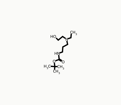 CCN(CCO)CCCNC(=O)OC(C)(C)C